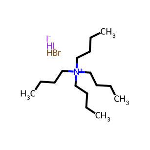 Br.CCCC[N+](CCCC)(CCCC)CCCC.I.[I-]